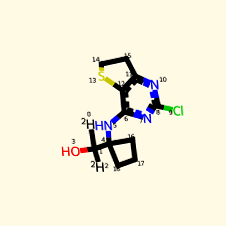 [2H]C([2H])(O)C1(Nc2nc(Cl)nc3c2SCC3)CCC1